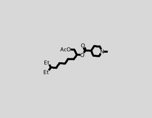 CCC(CC)CCCCCC(COC(C)=O)OC(=O)C1CCN(C)CC1